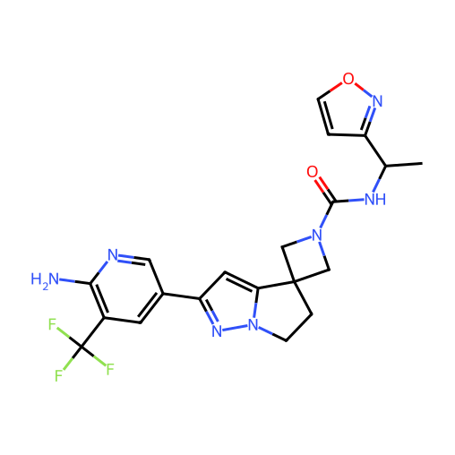 CC(NC(=O)N1CC2(CCn3nc(-c4cnc(N)c(C(F)(F)F)c4)cc32)C1)c1ccon1